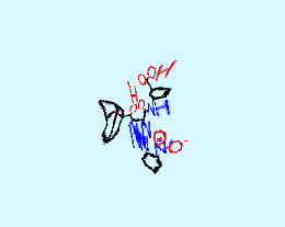 O=C(O)c1cccc(NC(=O)c2nn(-c3ccccc3[N+](=O)[O-])nc2C(O)C23CC4CC(CC(C4)C2)C3)c1